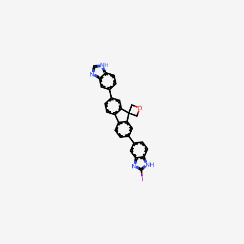 Ic1nc2cc(-c3ccc4c(c3)C3(COC3)c3cc(-c5ccc6[nH]cnc6c5)ccc3-4)ccc2[nH]1